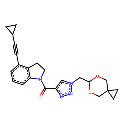 O=C(c1cn(CC2OCC3(CC3)CO2)nn1)N1CCc2c(C#CC3CC3)cccc21